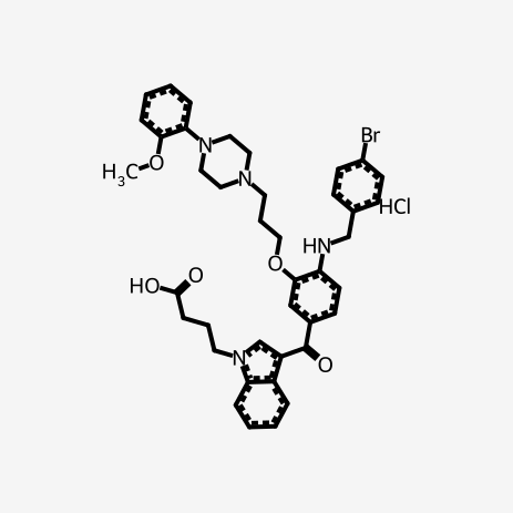 COc1ccccc1N1CCN(CCCOc2cc(C(=O)c3cn(CCCC(=O)O)c4ccccc34)ccc2NCc2ccc(Br)cc2)CC1.Cl